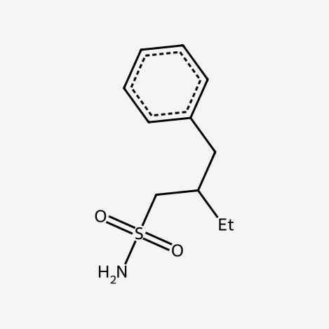 CCC(Cc1ccccc1)CS(N)(=O)=O